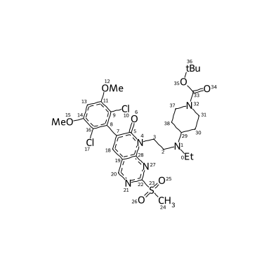 CCN(CCn1c(=O)c(-c2c(Cl)c(OC)cc(OC)c2Cl)cc2cnc(S(C)(=O)=O)nc21)C1CCN(C(=O)OC(C)(C)C)CC1